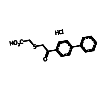 Cl.O=C(O)CSCC(=O)c1ccc(-c2ccccc2)cc1